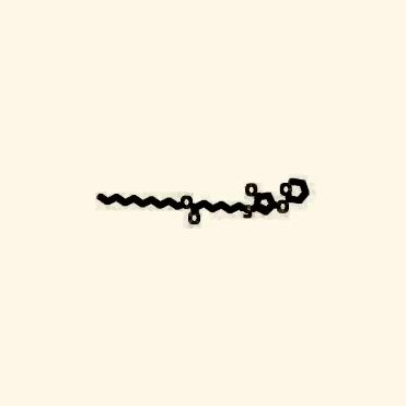 CCCCCCCCCCOC(=O)CCCCCSC1=CC(OC2CCCCO2)CC1=O